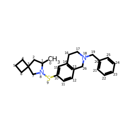 CC1CC2(CCC2)CN1Sc1ccc2c(c1)CCN(Cc1ccccc1)C2